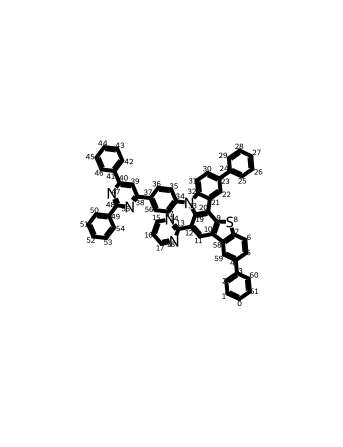 c1ccc(-c2ccc3sc4c(cc(-c5ncccn5)c5c4c4cc(-c6ccccc6)ccc4n5-c4ccc(-c5cc(-c6ccccc6)nc(-c6ccccc6)n5)cc4)c3c2)cc1